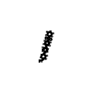 CC(C)N1CCC(c2ccc(-c3ccc(S(=O)(=O)N4CCCCC4)cc3)cn2)CC1